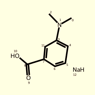 CN(C)c1cccc(C(=O)O)c1.[NaH]